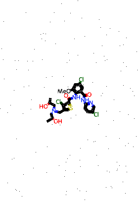 COc1cc(Cl)cc(C(=O)Nc2ccc(Cl)cn2)c1NC(=O)c1scc(CN(CC(C)O)CC(C)O)c1Cl